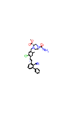 COC(=O)[C@@H]1CN(C(N)=O)CCN1Cc1cc(Cl)c(/C=C/c2cccc(-c3ccccc3)c2C#N)cc1C